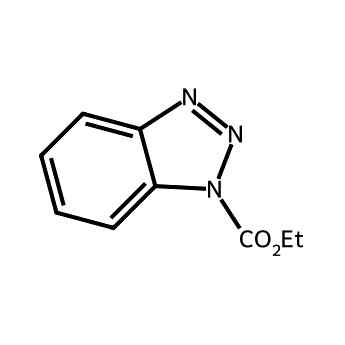 CCOC(=O)n1nnc2ccccc21